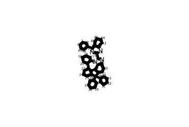 c1ccc(-c2nc(-c3nc4ccc5c6c4n3-c3ccccc3-c3cccc(c3-6)C5(c3ccccc3)c3ccccc3)nc3ccccc23)cc1